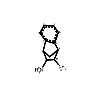 NC1C2CC(c3ccccc32)C1N